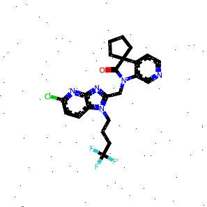 O=C1N(Cc2nc3nc(Cl)ccc3n2CCCC(F)(F)F)c2cnccc2C12CCCC2